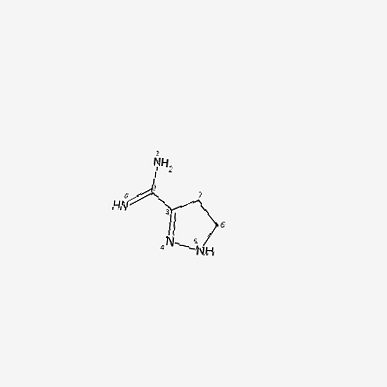 N=C(N)C1=NNCC1